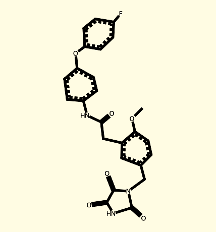 COc1ccc(CN2C(=O)NC(=O)C2=O)cc1CC(=O)Nc1ccc(Oc2ccc(F)cc2)cc1